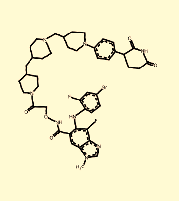 Cn1cnc2c(F)c(Nc3ccc(Br)cc3F)c(C(=O)NOCC(=O)N3CCC(CC4CCN(CC5CCN(c6ccc(C7CCC(=O)NC7=O)cc6)CC5)CC4)CC3)cc21